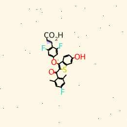 Cc1cc(F)cc(C)c1C(=O)c1sc2cc(O)ccc2c1Oc1cc(F)c(/C=C/C(=O)O)c(F)c1